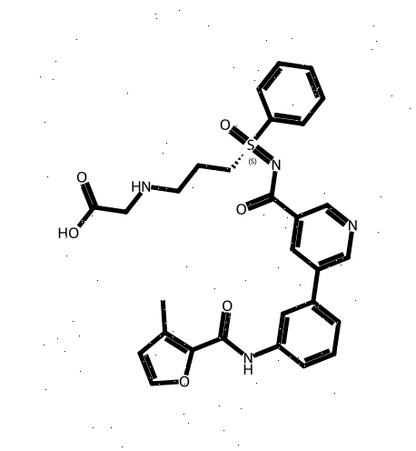 Cc1ccoc1C(=O)Nc1cccc(-c2cncc(C(=O)N=[S@](=O)(CCCNCC(=O)O)c3ccccc3)c2)c1